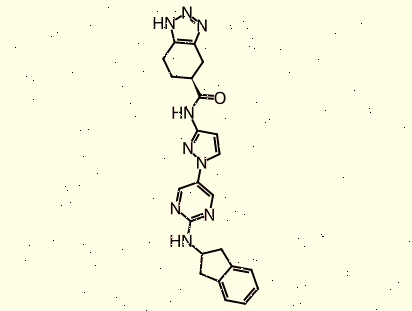 O=C(Nc1ccn(-c2cnc(NC3Cc4ccccc4C3)nc2)n1)[C@H]1CCc2[nH]nnc2C1